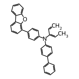 C=C/C(=C\C)N(c1ccc(-c2ccccc2)cc1)c1ccc(-c2cccc3c2oc2ccccc23)cc1